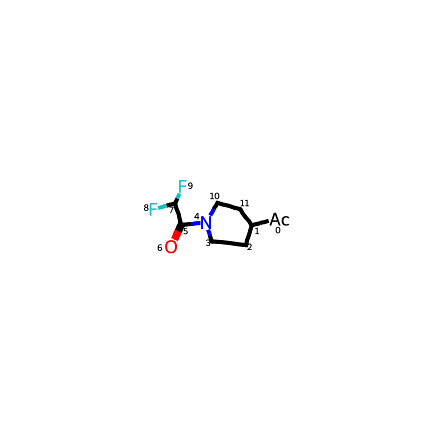 CC(=O)C1CCN(C(=O)C(F)F)CC1